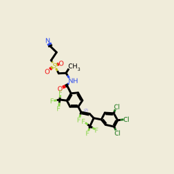 CC(CS(=O)(=O)CCC#N)NC(=O)c1ccc(/C(F)=C/C(c2cc(Cl)c(Cl)c(Cl)c2)C(F)(F)F)cc1C(F)(F)F